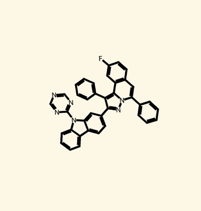 Fc1ccc2cc(-c3ccccc3)n3nc(-c4ccc5c6ccccc6n(-c6ncncn6)c5c4)c(-c4ccccc4)c3c2c1